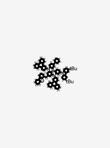 CC(C)(C)c1ccc2c(c1)c1cc(C(C)(C)C)ccc1n2-c1ccc2c(c1)N(c1ccc3c4ccccc4c4ccccc4c3c1)c1cc(Cc3cccc4c3oc3ccccc34)cc3c1B2c1cc(-c2ccccc2)ccc1N3c1ccc2c3ccccc3c3ccccc3c2c1